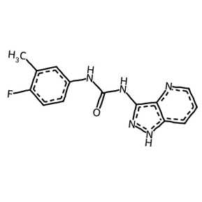 Cc1cc(NC(=O)Nc2n[nH]c3cccnc23)ccc1F